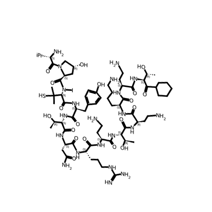 CC(C)[C@H](N)C(=O)N1C[C@H](O)C[C@H]1C(=O)N(I)[C@H](C(=O)N[C@@H](Cc1ccc(O)cc1)C(=O)N[C@H](C(=O)N[C@@H](CC(N)=O)C(=O)N[C@@H](CCCNC(=N)N)C(=O)N[C@@H](CCN)C(=O)N[C@H](C(=O)N[C@H](CCN)C(=O)N[C@@H](CCCCN)C(=O)N[C@@H](CCN)C(=O)N[C@H](C(=O)C1CCCCC1)[C@@H](C)O)[C@@H](C)O)[C@@H](C)O)C(C)(C)S